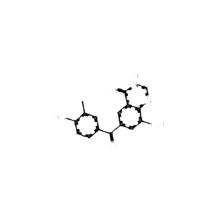 Cc1cc(C(=O)c2cc(O)c3nc[nH]c(=O)c3c2)ccc1S